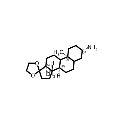 C[C@]12CC[C@H](N)CC1CC[C@@H]1C2CC[C@@]2(C)[C@H]1CCC21OCCO1